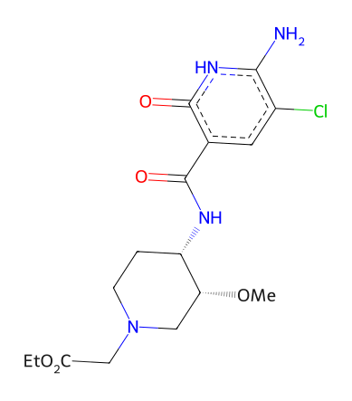 CCOC(=O)CN1CC[C@H](NC(=O)c2cc(Cl)c(N)[nH]c2=O)[C@H](OC)C1